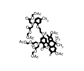 CC(=O)OCOC(=O)CN(CC(=O)OCOC(C)=O)c1ccc(C)cc1OCCOc1cc(N(CC(=O)OCOC(C)=O)CC(=O)OCOC(C)=O)c2c(c1)C1(OC2=O)c2cc(F)c(OC(C)=O)cc2C(C)(C)c2cc(OC(C)=O)c(F)cc21